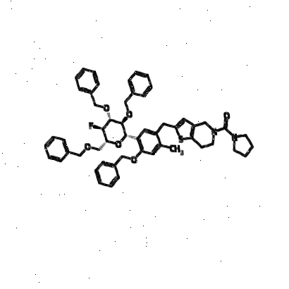 Cc1cc(OCc2ccccc2)c([C@@H]2O[C@H](COCc3ccccc3)[C@@H](F)[C@H](OCc3ccccc3)[C@H]2OCc2ccccc2)cc1Cc1cc2c(s1)CCN(C(=O)N1CCCC1)C2